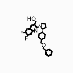 OCc1cc2cc(F)c(F)cc2nc1N1CCC[C@@H]1C1CCC(COCc2ccccc2)CC1